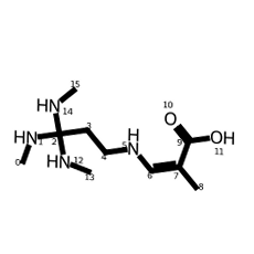 CNC(CCNC=C(C)C(=O)O)(NC)NC